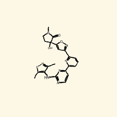 Cc1noc(C)c1Nc1nccc(-c2cccc(-c3cc(C4(O)CCN(C)C4=O)on3)n2)n1